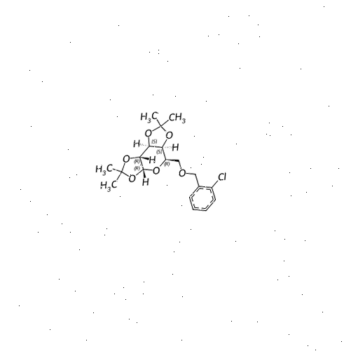 CC1(C)O[C@H]2[C@@H](O1)[C@@H](COCc1ccccc1Cl)O[C@@H]1OC(C)(C)O[C@@H]12